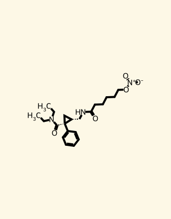 CCN(CC)C(=O)[C@]1(c2ccccc2)C[C@@H]1CNC(=O)CCCCCO[N+](=O)[O-]